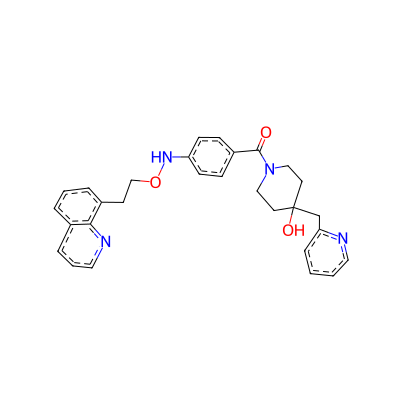 O=C(c1ccc(NOCCc2cccc3cccnc23)cc1)N1CCC(O)(Cc2ccccn2)CC1